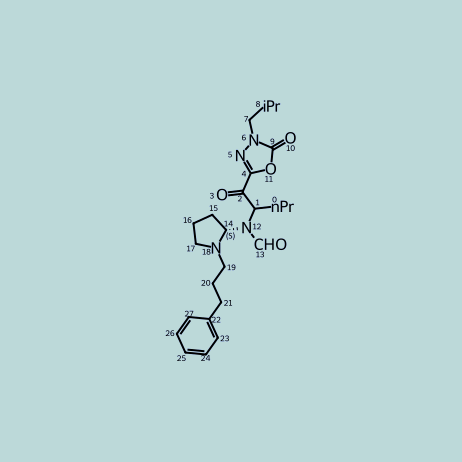 CCCC(C(=O)c1nn(CC(C)C)c(=O)o1)N(C=O)[C@H]1CCCN1CCCc1ccccc1